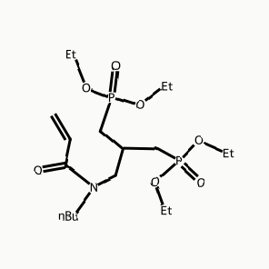 C=CC(=O)N(CCCC)CC(CP(=O)(OCC)OCC)CP(=O)(OCC)OCC